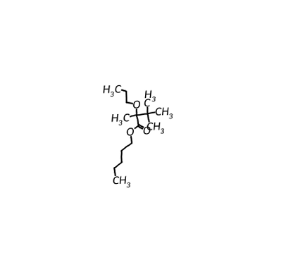 CCCCCOC(=O)C(C)(OCCC)C(C)(C)C